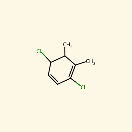 CC1=C(Cl)C=CC(Cl)C1C